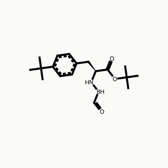 CC(C)(C)OC(=O)[C@H](Cc1ccc(C(C)(C)C)cc1)NBC=O